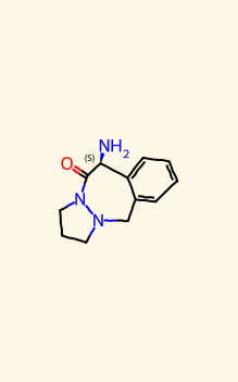 N[C@@H]1C(=O)N2CCCN2Cc2ccccc21